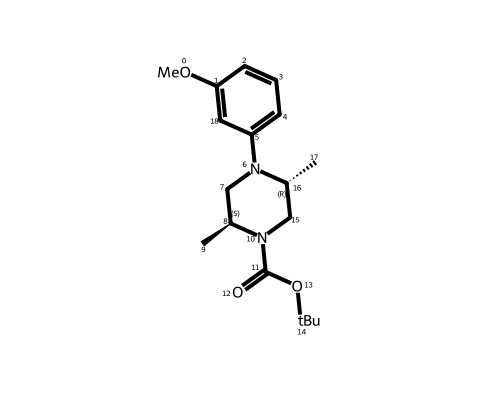 COc1cccc(N2C[C@H](C)N(C(=O)OC(C)(C)C)C[C@H]2C)c1